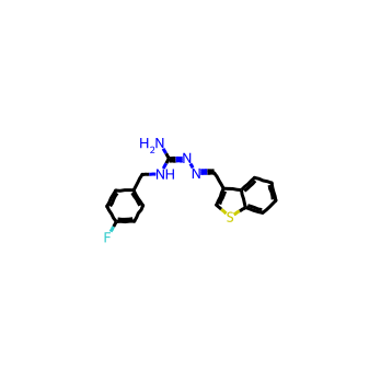 NC(=NN=Cc1csc2ccccc12)NCc1ccc(F)cc1